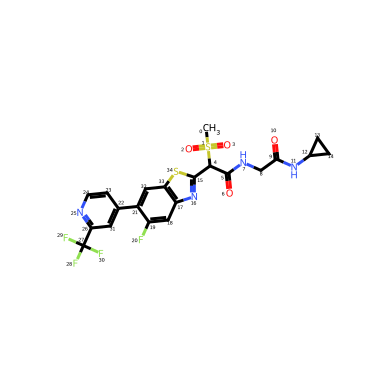 CS(=O)(=O)C(C(=O)NCC(=O)NC1CC1)c1nc2cc(F)c(-c3ccnc(C(F)(F)F)c3)cc2s1